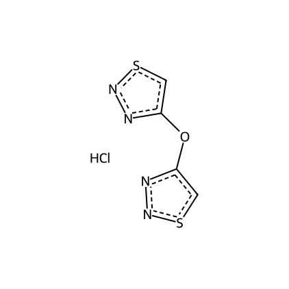 Cl.c1snnc1Oc1csnn1